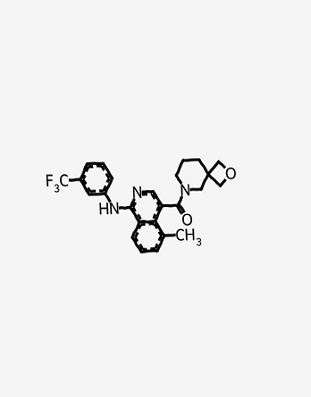 Cc1cccc2c(Nc3cccc(C(F)(F)F)c3)ncc(C(=O)N3CCCC4(COC4)C3)c12